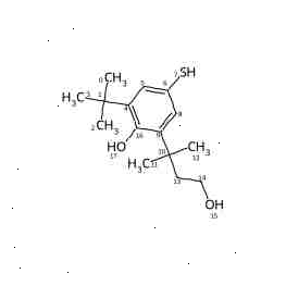 CC(C)(C)c1cc(S)cc(C(C)(C)CCO)c1O